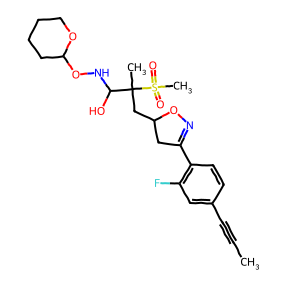 CC#Cc1ccc(C2=NOC(CC(C)(C(O)NOC3CCCCO3)S(C)(=O)=O)C2)c(F)c1